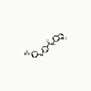 CNc1ccc(Nc2ccc(C(=O)Nc3ccc4cc[nH]c4c3)cc2)cc1